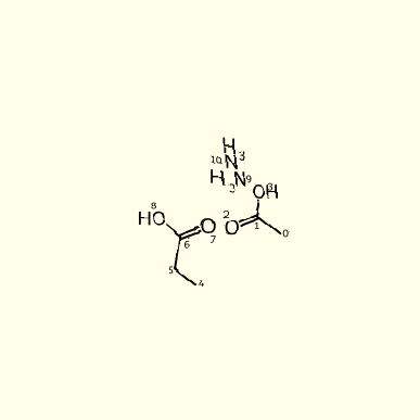 CC(=O)O.CCC(=O)O.N.N